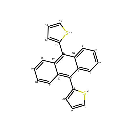 c1csc(-c2c3ccccc3c(-c3cccs3)c3ccccc23)c1